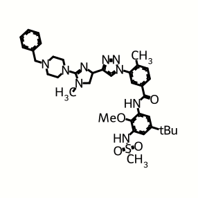 COc1c(NC(=O)c2ccc(C)c(-n3cc(C4CN(C)C(N5CCN(Cc6ccccc6)CC5)=N4)nn3)c2)cc(C(C)(C)C)cc1NS(C)(=O)=O